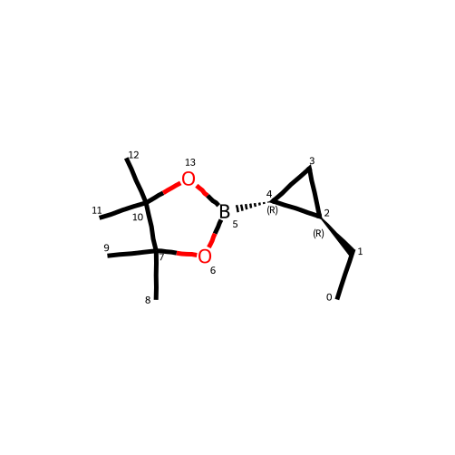 CC[C@@H]1C[C@H]1B1OC(C)(C)C(C)(C)O1